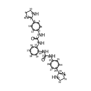 O=C(Nc1ccc(C2=NCCN2)cc1)Nc1ccccc1NC(=O)Nc1ccc(C2=NCCN2)cc1